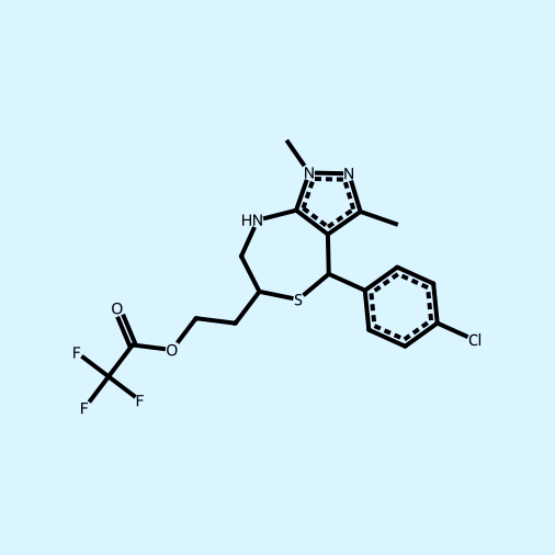 Cc1nn(C)c2c1C(c1ccc(Cl)cc1)SC(CCOC(=O)C(F)(F)F)CN2